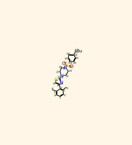 Cc1cccc(C)c1-c1csc(N2CCN(S(=O)(=O)c3ccc(C(C)(C)C)cc3)CC2)n1